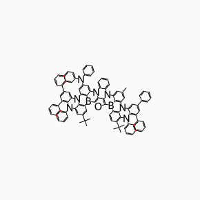 Cc1cc2c3c(c1)N1c4ccccc4N4c5cc(N(c6ccccc6)c6ccccc6)cc6c5B(c5cc(C(C)(C)C)cc7c5N6c5cc(-c6ccccc6)cc(-c6ccccc6)c5N7c5ccccc5)c5oc(c1c54)B3c1ccc(C(C)(C)C)c3c1N2c1cc(-c2ccccc2)cc(-c2ccccc2)c1N3c1ccccc1